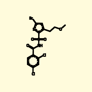 COCCc1cc(Br)sc1S(=O)(=O)NC(=O)c1ccc(Cl)cc1Cl